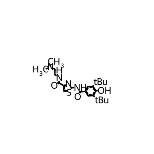 CN(C)CCNC(=O)c1csc(NC(=O)c2cc(C(C)(C)C)c(O)c(C(C)(C)C)c2)n1